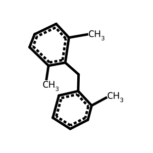 Cc1ccccc1Cc1c(C)cccc1C